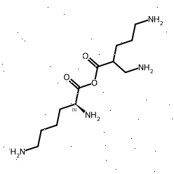 NCCCC[C@H](N)C(=O)OC(=O)C(CN)CCCN